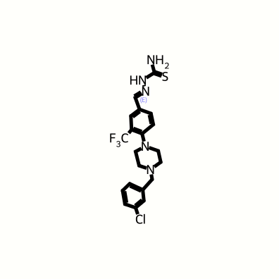 NC(=S)N/N=C/c1ccc(N2CCN(Cc3cccc(Cl)c3)CC2)c(C(F)(F)F)c1